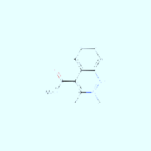 COC(=O)c1c(C)[n+](C)nc2ccccc12